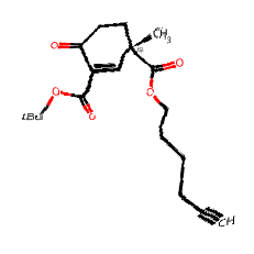 C#CCCCCOC(=O)[C@]1(C)C=C(C(=O)OC(C)(C)C)C(=O)CC1